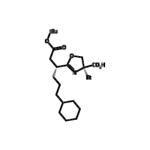 CC[C@@]1(C(=O)O)COC([C@H](CCCC2CCCCC2)CC(=O)OC(C)(C)C)=N1